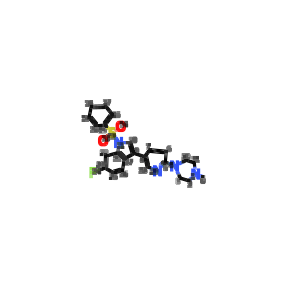 CN1CCN(c2ccc(-c3cn(S(=O)(=O)c4ccccc4)c4cc(F)ccc34)cn2)CC1